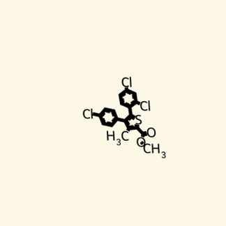 COC(=O)c1sc(-c2ccc(Cl)cc2Cl)c(-c2ccc(Cl)cc2)c1C